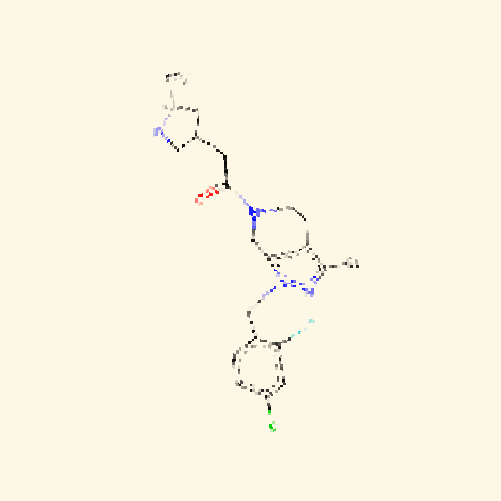 CCc1nn(Cc2ccc(Cl)cc2F)c2c1CCN(C(=O)CC1CN[C@H](C(=O)O)C1)C2